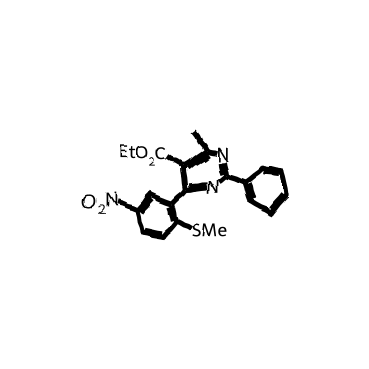 CCOC(=O)c1c(C)nc(-c2ccccc2)nc1-c1cc([N+](=O)[O-])ccc1SC